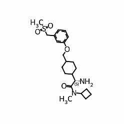 CN(C(=O)[C@@H](N)C1CCC(COc2cccc(CS(C)(=O)=O)c2)CC1)C1CCC1